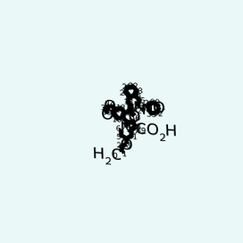 C=CCOC1CCn2c(-c3cc4c(cc3C(=O)N3Cc5ccccc5C[C@H]3CN3CCOCC3)OCO4)cc(C(=O)O)c2C1